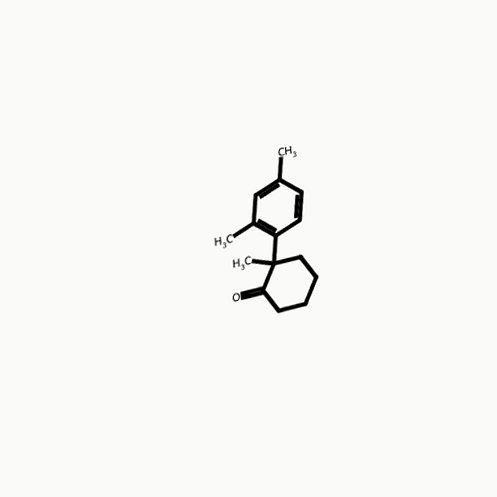 Cc1ccc(C2(C)CCCCC2=O)c(C)c1